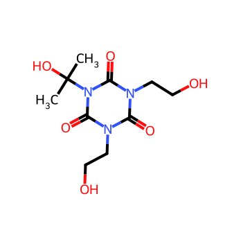 CC(C)(O)n1c(=O)n(CCO)c(=O)n(CCO)c1=O